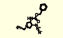 C[C](C)CN1C[C@H](N=[N+]=[N-])[C@H](NC(=O)OCc2ccccc2)C1